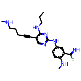 CCCNc1nc(Nc2ccc(NC)c(C(=N)F)c2)ncc1C#CCCCNC